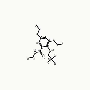 CCCc1cc(CCC)c(OCC(C)(C)C)c(C(=O)OCC)c1